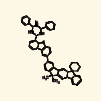 CC1(C)C2=CC3c4ccccc4C4(CCCCC4)C3C=C2c2cc(-c3ccc4c(c3)C3C=CC=C(C5NC(c6ccccc6)NC(c6ccccc6)N5)C3S4)ccc21